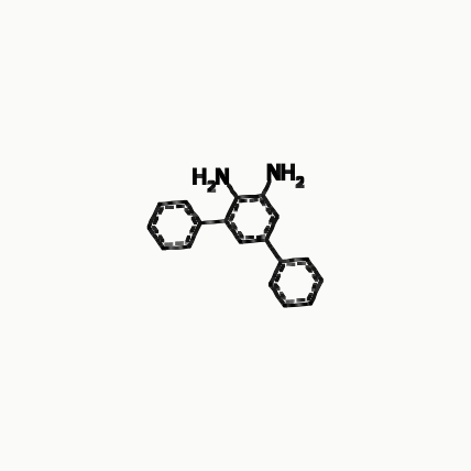 Nc1cc(-c2ccccc2)cc(-c2ccccc2)c1N